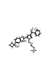 C[Si](C)(C)CCOCn1cc(C(=O)c2ccccc2C(F)(F)F)cc1-c1nc2ccc(C3(O)CCC3)cc2[nH]1